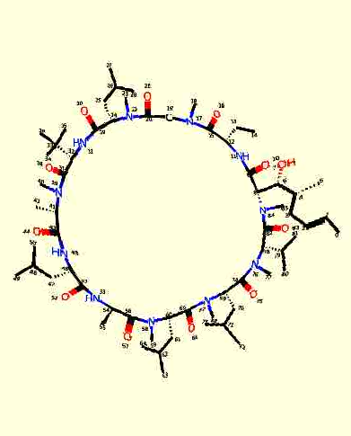 C/C=C/C[C@@H](C)[C@@H](O)[C@H]1C(=O)N[C@@H](CC)C(=O)N(C)CC(=O)N(C)[C@@H](CC(C)C)C(=O)N[C@@H](C(C)(C)C)C(=O)N(C)[C@@H](C)C(=O)N[C@@H](CC(C)C)C(=O)N[C@H](C)C(=O)N(C)[C@@H](CC(C)C)C(=O)N(C)[C@@H](CC(C)C)C(=O)N(C)[C@@H](C(C)C)C(=O)N1C